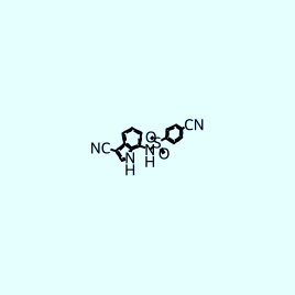 N#Cc1ccc(S(=O)(=O)Nc2cccc3c(C#N)c[nH]c23)cc1